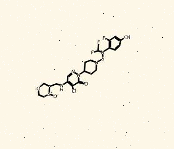 N#Cc1ccc(N(SN2CCC(n3ncc(NCC4COCC[S+]4[O-])c(Cl)c3=O)CC2)C(F)F)c(F)c1